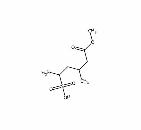 COC(=O)CC(C)CC(N)S(=O)(=O)O